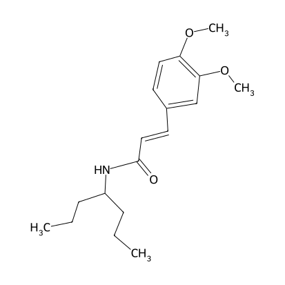 CCCC(CCC)NC(=O)C=Cc1ccc(OC)c(OC)c1